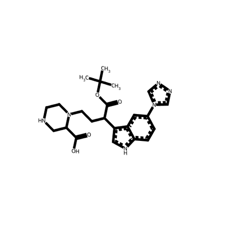 CC(C)(C)OC(=O)C(CCN1CCNCC1C(=O)O)c1c[nH]c2ccc(-n3cnnc3)cc12